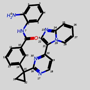 Nc1ccccc1NC(=O)c1cccc(C2(c3nccc(-c4cnc5ccccn45)n3)CC2)c1